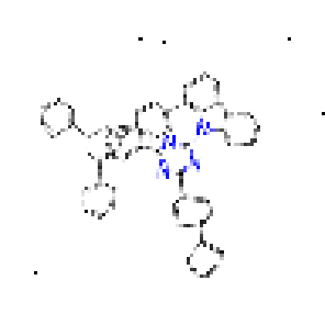 c1ccc(-c2ccc(-c3nc(-c4ccccc4)nc(-n4c5ccccc5c5cccc(-c6ccc(-c7cc(-c8ccccc8)cc(-c8ccccc8)c7)cc6)c54)n3)cc2)cc1